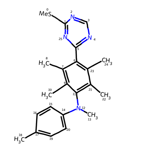 CSc1ncnc(-c2c(C)c(C)c(N(C)c3ccc(C)cc3)c(C)c2C)n1